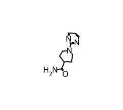 NC(=O)C1CCN(c2ncccn2)CC1